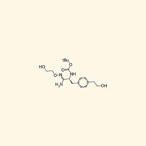 CC(C)(C)OC(=O)N[C@@H](Cc1ccc(CCO)cc1)/C(N)=N/OCCO